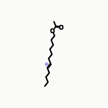 CCCC/C=C/CCCCCCOC(C)=O